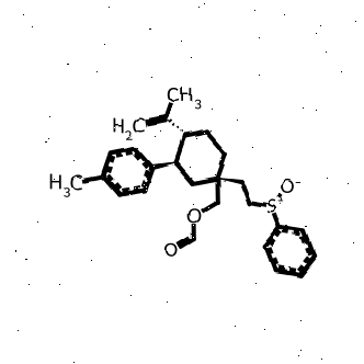 C=C(C)[C@@H]1CC[C@](CC[S+]([O-])c2ccccc2)(COC=O)C[C@H]1c1ccc(C)cc1